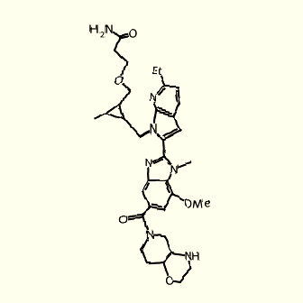 CCc1ccc2cc(-c3nc4cc(C(=O)N5CCC6OCCNC6C5)cc(OC)c4n3C)n(CC3C(C)C3COCCC(N)=O)c2n1